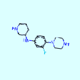 Fc1cc(NC2CCCNC2)ccc1N1CCNCC1